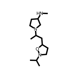 CNC1CCN(C(C)CC2CCN(C(C)C)O2)C1